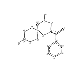 CC1CN(C(=O)c2ccccn2)CC2(CCN(C)CC2)O1